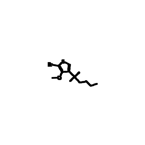 CCCCC(C)(C)c1csc(Br)c1OC